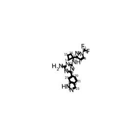 Nc1nc(NC2(c3ccn(C(F)F)n3)CCC2)nc(-c2ccc3cn[nH]c3c2)n1